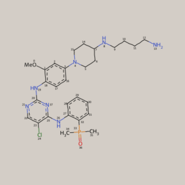 COc1cc(N2CCC(NCCCCN)CC2)ccc1Nc1ncc(Cl)c(Nc2ccccc2P(C)(C)=O)n1